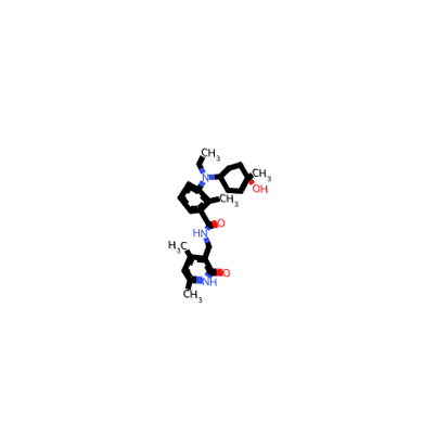 CCN(c1cccc(C(=O)NCc2c(C)cc(C)[nH]c2=O)c1C)C1CCC(C)(O)CC1